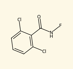 O=C(NF)c1c(Cl)cccc1Cl